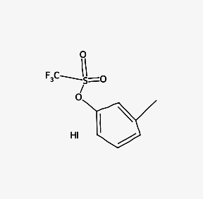 Cc1cccc(OS(=O)(=O)C(F)(F)F)c1.I